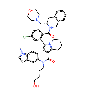 Cn1ccc2cc(N(CCCCO)C(=O)c3cc(-c4cc(Cl)ccc4C(=O)N4Cc5ccccc5C[C@H]4CN4CCOCC4)n4c3CCCC4)ccc21